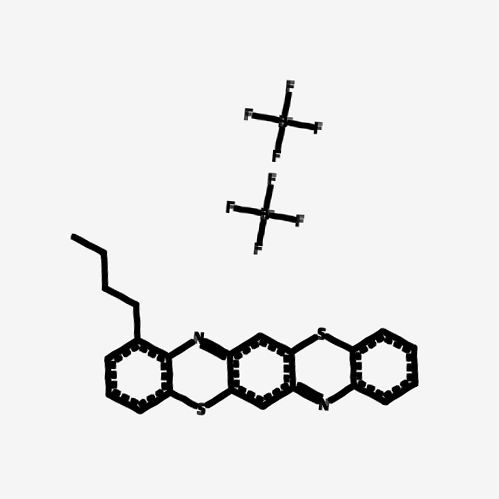 CCCCc1cccc2c1N=c1cc3c(cc1S2)=Nc1ccccc1S3.F[B-](F)(F)F.F[B-](F)(F)F